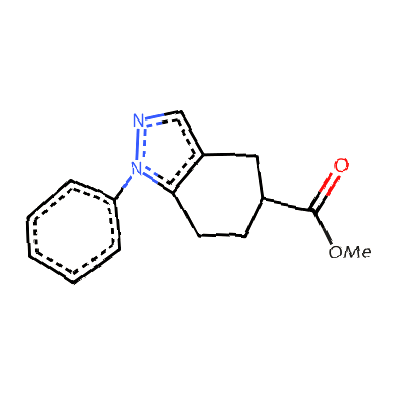 COC(=O)C1CCc2c(cnn2-c2ccccc2)C1